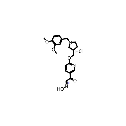 COc1ccc(CN2CCC(COc3ccc(C(=O)/C=N/O)cn3)C2)cc1OC.Cl